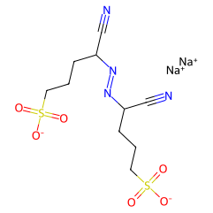 N#CC(CCCS(=O)(=O)[O-])N=NC(C#N)CCCS(=O)(=O)[O-].[Na+].[Na+]